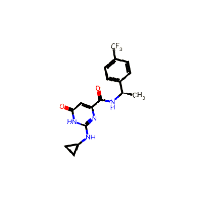 C[C@@H](NC(=O)c1cc(=O)[nH]c(NC2CC2)n1)c1ccc(C(F)(F)F)cc1